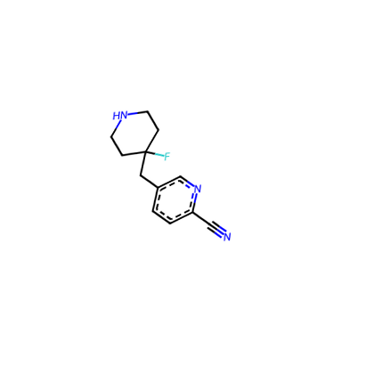 N#Cc1ccc(CC2(F)CCNCC2)cn1